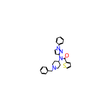 O=C(c1cccs1)N(c1ccn(-c2ccccc2)n1)C1CCN(Cc2ccccc2)CC1